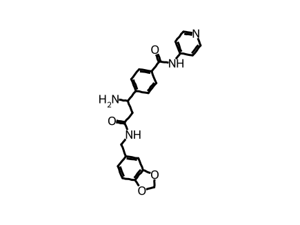 NC(CC(=O)NCc1ccc2c(c1)OCO2)c1ccc(C(=O)Nc2ccncc2)cc1